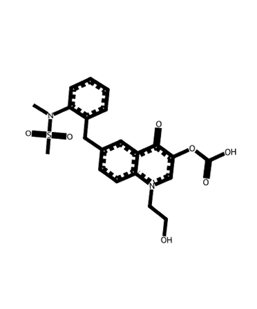 CN(c1ccccc1Cc1ccc2c(c1)c(=O)c(OC(=O)O)cn2CCO)S(C)(=O)=O